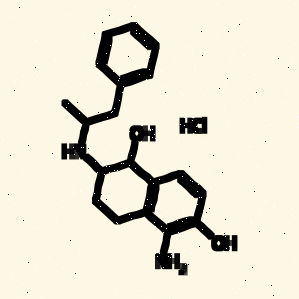 CC(Cc1ccccc1)NC1CCc2c(ccc(O)c2N)C1O.Cl